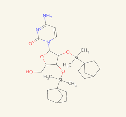 C[Si](C)(OC1C(CO)OC(n2ccc(N)nc2=O)C1O[Si](C)(C)C12CCC(CC1)C2)C12CCC(CC1)C2